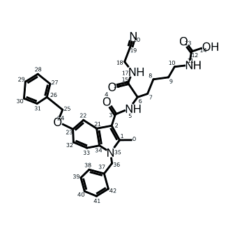 Cc1c(C(=O)NC(CCCCNC(=O)O)C(=O)NCC#N)c2cc(OCc3ccccc3)ccc2n1Cc1ccccc1